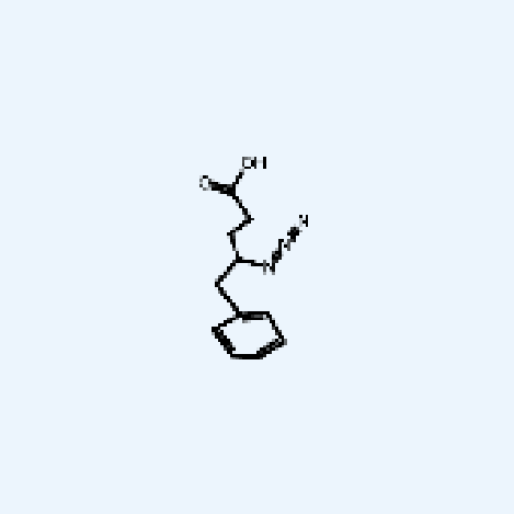 [N-]=[N+]=N[C@H](CCC(=O)O)Cc1ccccc1